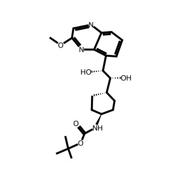 COc1cnc2cccc([C@@H](O)[C@H](O)[C@H]3CC[C@H](NC(=O)OC(C)(C)C)CC3)c2n1